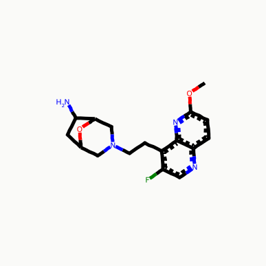 COc1ccc2ncc(F)c(CCN3CC4CC(N)C(C3)O4)c2n1